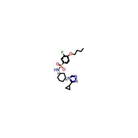 CCCCOc1ccc(S(=O)(=O)N[C@H]2CCC[C@@H](n3cnnc3C3CC3)C2)cc1F